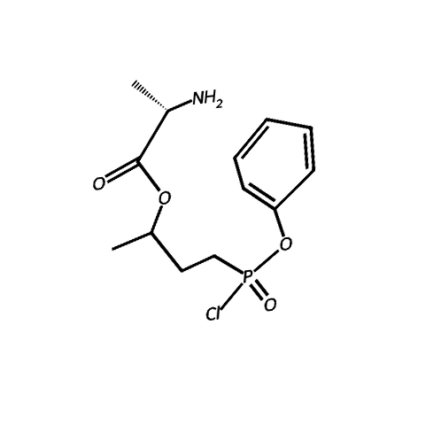 CC(CCP(=O)(Cl)Oc1ccccc1)OC(=O)[C@H](C)N